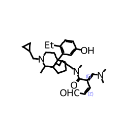 CCc1ccc(O)cc1C12CCN(CC3CC3)C(C)C13CCC(N(C)C(=O)C(/C=C\C=O)=C/N(C)C)C2CC3